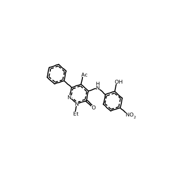 CCn1nc(-c2ccccc2)c(C(C)=O)c(Nc2ccc([N+](=O)[O-])cc2O)c1=O